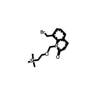 C[Si](C)(C)CCOCn1c(=O)ccc2cccc(CBr)c21